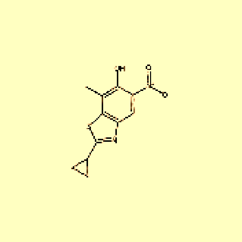 Cc1c(O)c([N+](=O)[O-])cc2nc(C3CC3)sc12